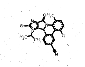 Cc1ccc(Cl)c2c1N1C(=O)c3nc(Br)n(C(C)C)c3C1c1ccc(C#N)cc1-2